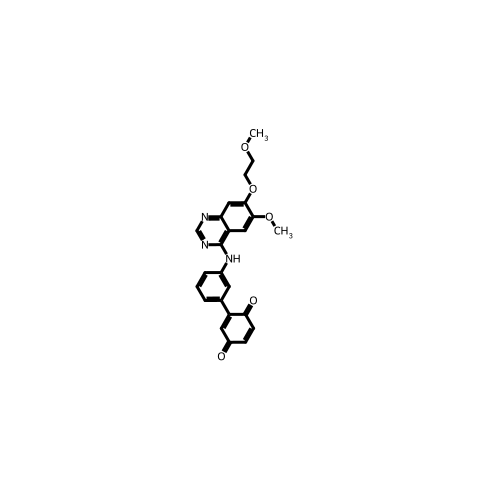 COCCOc1cc2ncnc(Nc3cccc(C4=CC(=O)C=CC4=O)c3)c2cc1OC